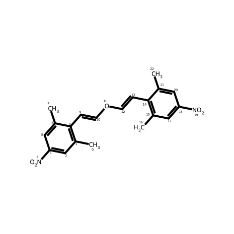 Cc1cc([N+](=O)[O-])cc(C)c1C=COC=Cc1c(C)cc([N+](=O)[O-])cc1C